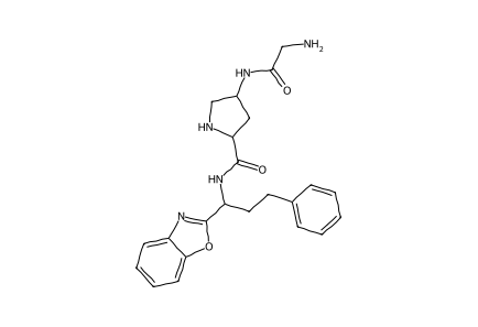 NCC(=O)NC1CNC(C(=O)NC(CCc2ccccc2)c2nc3ccccc3o2)C1